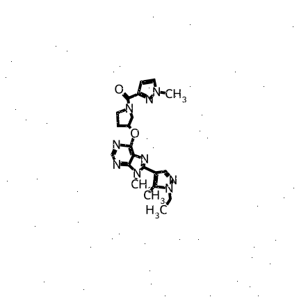 CCn1ncc(-c2nc3c(OC4CCN(C(=O)c5ccn(C)n5)C4)ncnc3n2C)c1C